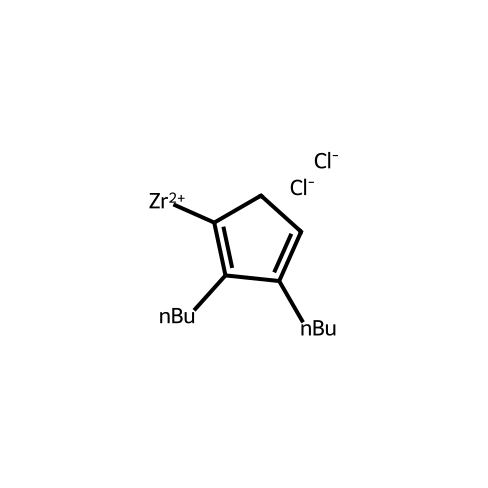 CCCCC1=CC[C]([Zr+2])=C1CCCC.[Cl-].[Cl-]